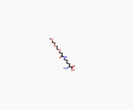 COCCOCCOCCC(=O)NCCCC[C@H](N)C(=O)O